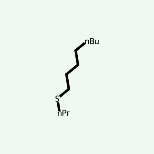 [CH2]CCSCCCCCCCC